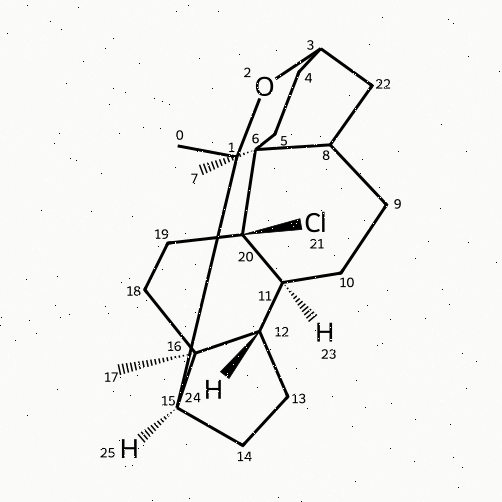 CC1OC2CC[C@@]3(C)C(CC[C@H]4[C@@H]5CC[C@H]1[C@@]5(C)CC[C@@]43Cl)C2